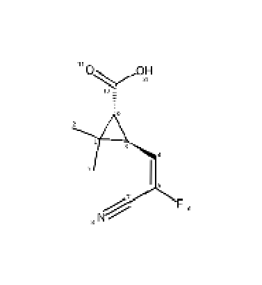 CC1(C)[C@H](/C=C(/F)C#N)[C@H]1C(=O)O